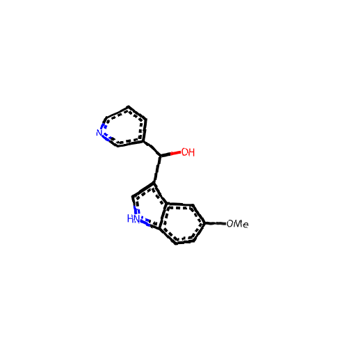 COc1ccc2[nH]cc(C(O)c3cccnc3)c2c1